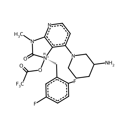 CN1C(=O)[N@+](Cc2cc(F)ccc2F)(OC(=O)C(F)(F)F)c2c(N3CCCC(N)C3)ccnc21